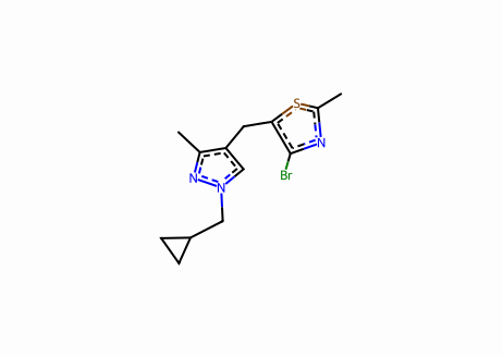 Cc1nc(Br)c(Cc2cn(CC3CC3)nc2C)s1